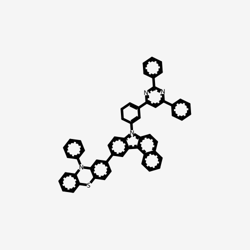 C1=C(c2cc(-c3ccccc3)nc(-c3ccccc3)n2)C=C(n2c3ccc(-c4ccc5c(c4)N(c4ccccc4)c4ccccc4S5)cc3c3c4ccccc4ccc32)CC1